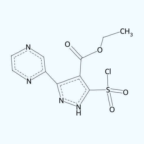 CCOC(=O)c1c(-c2cnccn2)n[nH]c1S(=O)(=O)Cl